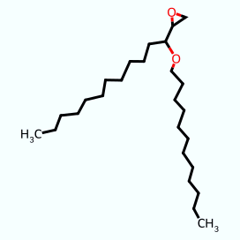 CCCCCCCCCCCCOC(CCCCCCCCCCC)C1CO1